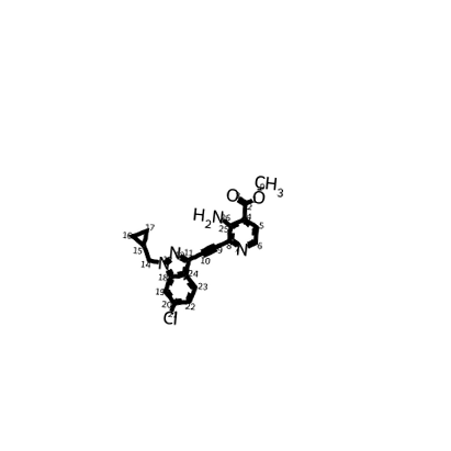 COC(=O)c1ccnc(C#Cc2nn(CC3CC3)c3cc(Cl)ccc23)c1N